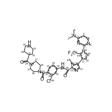 CN(C)c1ccnc(-n2ncc(-c3cnc(C(=O)Nc4ccc(C(=O)N5CCN(C(=O)C6CCNCC6)CC5)c(Cl)c4)n3C)c2C(F)(F)F)n1